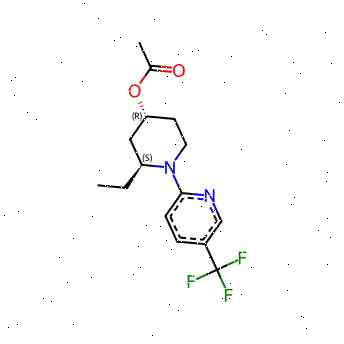 CC[C@H]1C[C@H](OC(C)=O)CCN1c1ccc(C(F)(F)F)cn1